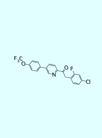 O=C(Cc1ccc(Cl)cc1F)c1ccc(-c2ccc(OC(F)(F)F)cc2)cn1